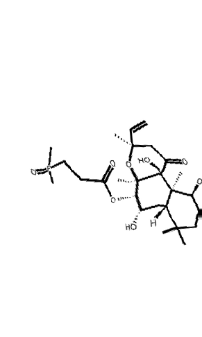 C=C[C@@]1(C)CC(=O)[C@]2(O)[C@@]3(C)[C@@H](O)CCC(C)(C)[C@@H]3[C@H](O)[C@H](OC(=O)CCP(C)(C)=O)[C@@]2(C)O1